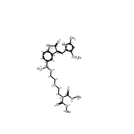 CCOC(=O)c1cc(C)[nH]c1/C=C1\C(=O)Nc2ccc([C@H](C)OCCOCCN(C(=O)OC(C)(C)C)C(=O)OC(C)(C)C)cc21